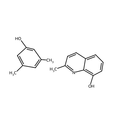 Cc1cc(C)cc(O)c1.Cc1ccc2cccc(O)c2n1